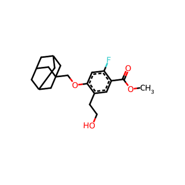 COC(=O)c1cc(CCO)c(OCC23CC4CC(CC(C4)C2)C3)cc1F